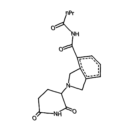 CCCC(=O)NC(=O)c1cccc2c1CN(C1CCC(=O)NC1=O)C2